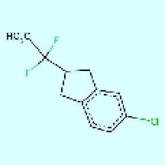 O=C(O)C(F)(F)C1Cc2ccc(Cl)cc2C1